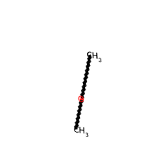 CCCCCCCCCCCCCCCCCCCCCCOCCCCCCCCCCCCCCC